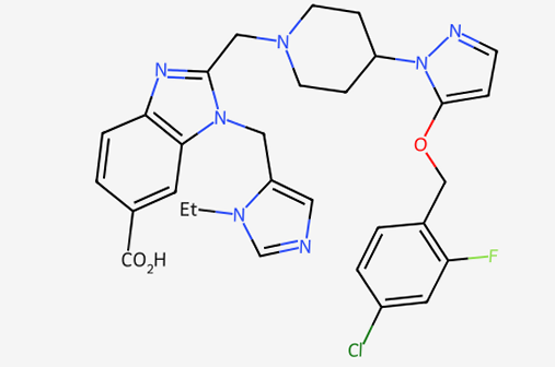 CCn1cncc1Cn1c(CN2CCC(n3nccc3OCc3ccc(Cl)cc3F)CC2)nc2ccc(C(=O)O)cc21